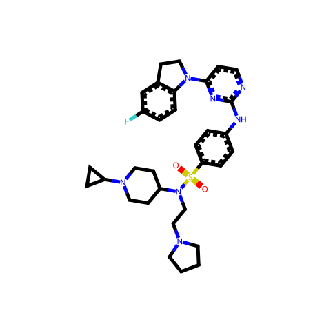 O=S(=O)(c1ccc(Nc2nccc(N3CCc4cc(F)ccc43)n2)cc1)N(CCN1CCCC1)C1CCN(C2CC2)CC1